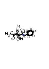 CC(=O)[C@@H](N)[C@H](O)/C(C)=C/c1ccccc1